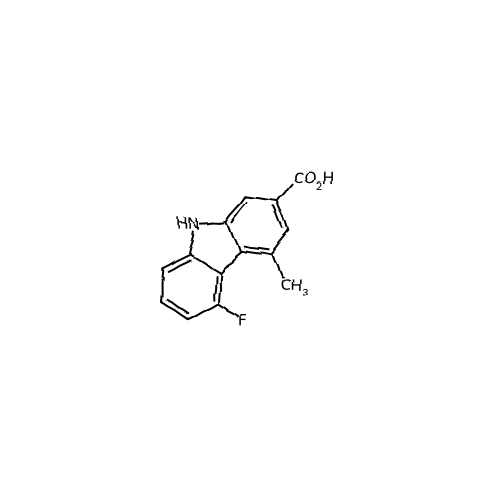 Cc1cc(C(=O)O)cc2[nH]c3cccc(F)c3c12